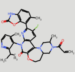 C=CC(=O)N1CC2CCOc3c(c4cc(F)c(-c5c(C)ccc6[nH]c(=O)oc56)nc4n(-c4c(C)ccnc4C(C)C)c3=O)N2CC1C